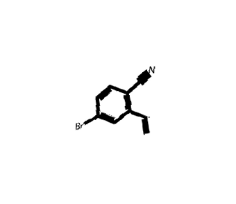 C=[C]c1cc(Br)ccc1C#N